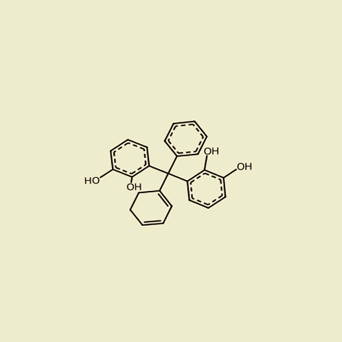 Oc1cccc(C(C2=CC=CCC2)(c2ccccc2)c2cccc(O)c2O)c1O